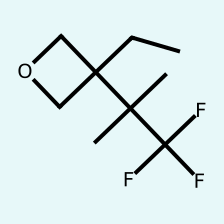 CCC1(C(C)(C)C(F)(F)F)COC1